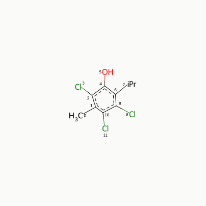 Cc1c(Cl)c(O)c(C(C)C)c(Cl)c1Cl